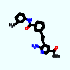 COC(=O)c1cnc(N)c(C#Cc2cccc(C(=O)Nc3cccc(C)c3)c2)c1